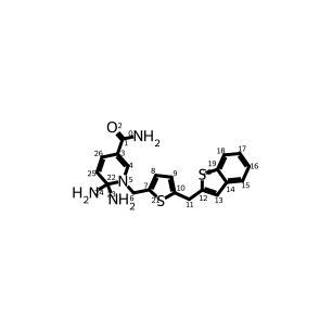 NC(=O)C1=CN(Cc2ccc(Cc3cc4ccccc4s3)s2)C(N)(N)C=C1